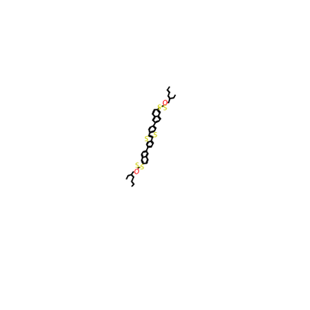 CCCCC(CC)COC(=S)Sc1ccc2cc(-c3ccc4c(c3)sc3c5ccc(-c6ccc7cc(SC(=S)OCC(CC)CCCC)ccc7c6)cc5sc43)ccc2c1